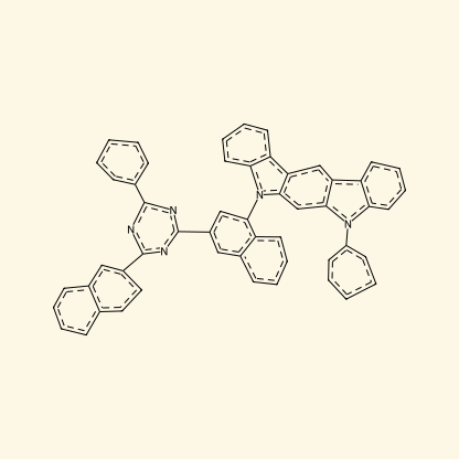 c1ccc(-c2nc(-c3ccc4ccccc4c3)nc(-c3cc(-n4c5ccccc5c5cc6c7ccccc7n(-c7ccccc7)c6cc54)c4ccccc4c3)n2)cc1